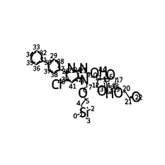 C[Si](C)(C)CCOCn1c(O[C@@H]2CO[C@H]3[C@H]2OC[C@H]3OCC=O)nc2nc(-c3ccc(-c4ccccc4)cc3)c(Cl)cc21